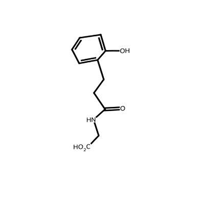 O=C(O)CNC(=O)CCc1ccccc1O